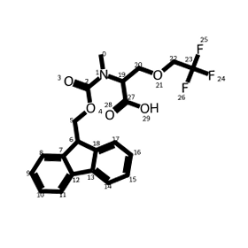 CN(C(=O)OCC1c2ccccc2-c2ccccc21)C(COCC(F)(F)F)C(=O)O